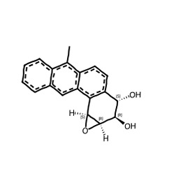 Cc1c2ccccc2cc2c3c(ccc12)[C@H](O)[C@@H](O)[C@H]1O[C@@H]31